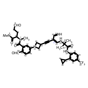 CNC(=O)C(CCC=O)N(C)C(=O)c1cc(N2CC(C#C/C(C=N)=C/NC(C)(C)C(=O)Nc3ccc(C(F)(F)F)cc3C3CC3)C2)ccc1C=O